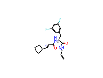 C=CCNC(=O)[C@H](Cc1cc(F)cc(F)c1)NC(=O)/C=C/C1CCCC1